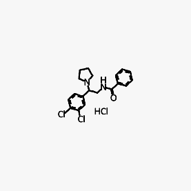 Cl.O=C(NCC(c1ccc(Cl)c(Cl)c1)N1CCCC1)c1ccccc1